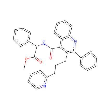 COC(=O)C(NC(=O)c1c(CCCc2ccccn2)c(-c2ccccc2)nc2ccccc12)c1ccccc1